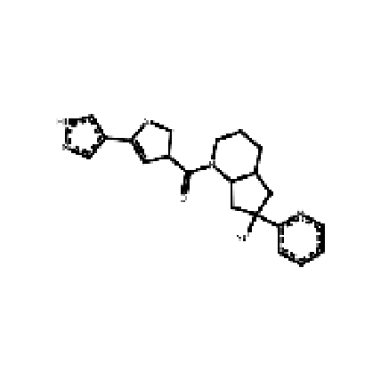 N#CC1(c2ccccn2)CC2CCCN(C(=O)C3C=C(c4cn[nH]c4)SC3)C2C1